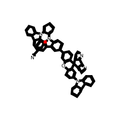 N#Cc1ccc2c(c1)c1cc(-c3ccc4c(c3)Oc3ccc(-n5c6ccccc6c6ccccc65)cc3C43c4cccnc4-c4ncccc43)ccc1n2-c1ccccc1-n1c2ccccc2c2ccccc21